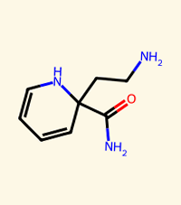 NCCC1(C(N)=O)C=CC=CN1